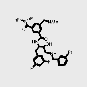 CCCN(CCC)C(=O)c1cc(CNC)cc(C(=O)NC(Cc2cc(F)cc(F)c2)C(O)CNCc2cccc(CC)c2)c1